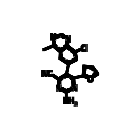 Cc1ncnc2c(Cl)cc(-c3c(C#N)nc(N)nc3-c3ccco3)cc12